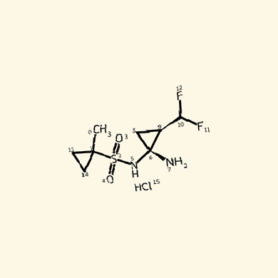 CC1(S(=O)(=O)N[C@]2(N)C[C@H]2C(F)F)CC1.Cl